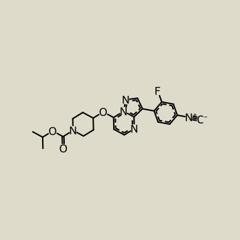 [C-]#[N+]c1ccc(-c2cnn3c(OC4CCN(C(=O)OC(C)C)CC4)ccnc23)c(F)c1